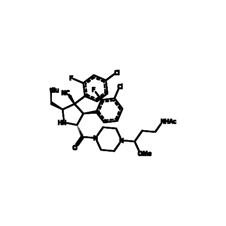 COC(CCNC(C)=O)N1CCN(C(=O)[C@@H]2N[C@@H](CC(C)(C)C)[C@](C#N)(c3ccc(Cl)cc3F)[C@H]2c2cccc(Cl)c2F)CC1